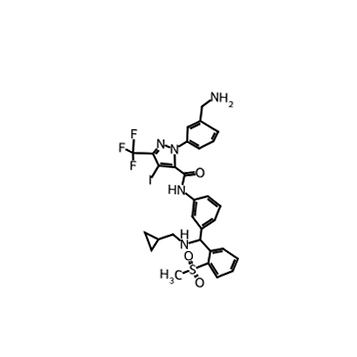 CS(=O)(=O)c1ccccc1C(NCC1CC1)c1cccc(NC(=O)c2c(I)c(C(F)(F)F)nn2-c2cccc(CN)c2)c1